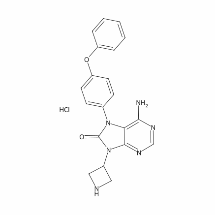 Cl.Nc1ncnc2c1n(-c1ccc(Oc3ccccc3)cc1)c(=O)n2C1CNC1